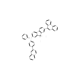 CC1(C)c2cc(-c3cc4ccccc4c4ccccc34)ccc2-c2ccc(N(c3ccccc3)c3ccc(-c4ccc5ccccc5c4)cc3)cc21